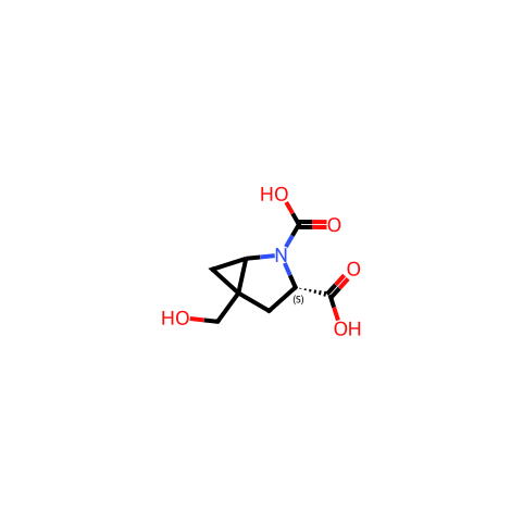 O=C(O)[C@@H]1CC2(CO)CC2N1C(=O)O